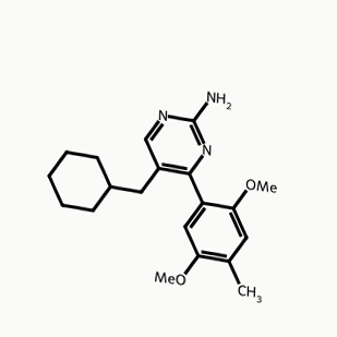 COc1cc(-c2nc(N)ncc2CC2CCCCC2)c(OC)cc1C